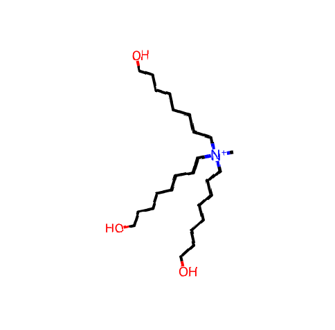 C[N+](CCCCCCCCO)(CCCCCCCCO)CCCCCCCCO